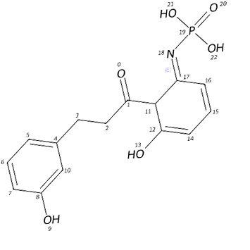 O=C(CCc1cccc(O)c1)C1C(O)=CC=C/C1=N\P(=O)(O)O